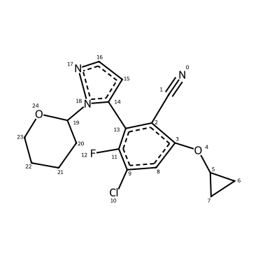 N#Cc1c(OC2CC2)cc(Cl)c(F)c1-c1ccnn1C1CCCCO1